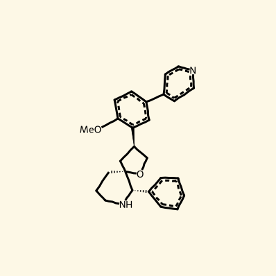 COc1ccc(-c2ccncc2)cc1[C@H]1CO[C@]2(CCCN[C@H]2c2ccccc2)C1